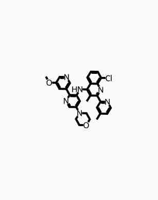 COc1cncc(-c2ncc(N3CCOCC3)cc2Nc2c(C)c(-c3cc(C)ccn3)nc3c(Cl)cccc23)c1